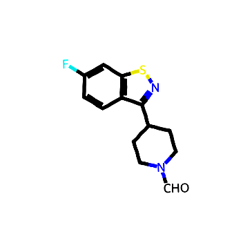 O=CN1CCC(c2nsc3cc(F)ccc23)CC1